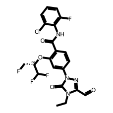 CCn1c(C=O)nn(-c2ccc(C(=O)Nc3c(F)cccc3Cl)c(O[C@@H](CF)C(F)F)c2)c1=O